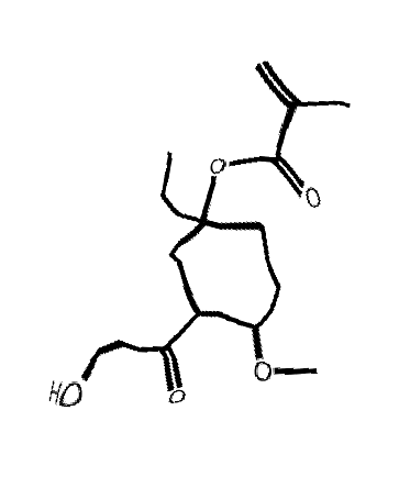 C=C(C)C(=O)OC1(CC)CCC(OC)C(C(=O)CO)C1